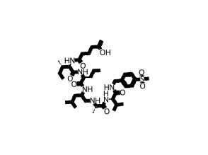 C=C(O)CCCC(=O)N[C@H](C(=O)N[C@@H](CCC)C(=O)NC(CN[C@@H](C)C(=O)N[C@H](C(=O)NCc1ccc(S(C)(=O)=O)cc1)C(C)C)CC(C)C)[C@@H](C)CC